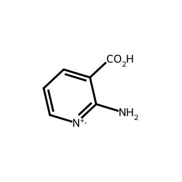 NC1=[N+]C=CC=C1C(=O)O